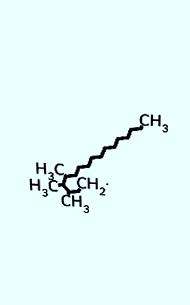 [CH2]CC(C)C(C)C(C)CCCCCCCCCCCC